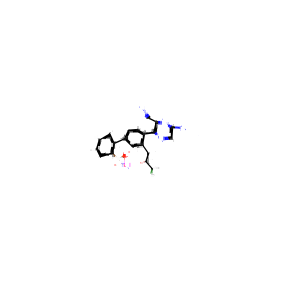 N#Cc1nc(N)cnc1-c1ccc(-c2ccccc2S(N)(=O)=O)cc1C[C@@H](O)CF